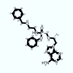 C[C@H](Cn1cnc2c(N)ncnc21)OC[P@@](=O)(NCCOCc1ccccc1)Oc1ccccc1